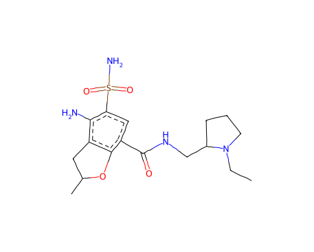 CCN1CCCC1CNC(=O)c1cc(S(N)(=O)=O)c(N)c2c1OC(C)C2